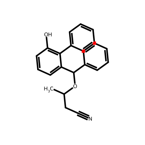 CC(CC#N)OC(c1ccccc1)c1cccc(O)c1-c1ccccc1